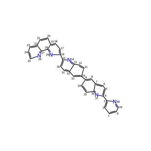 c1ccc(-c2ccc3cc(-c4ccc5nc(-c6ccc7ccc8cccnc8c7n6)ccc5c4)ccc3n2)nc1